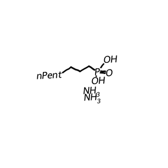 CCCCCCCCP(=O)(O)O.N.N